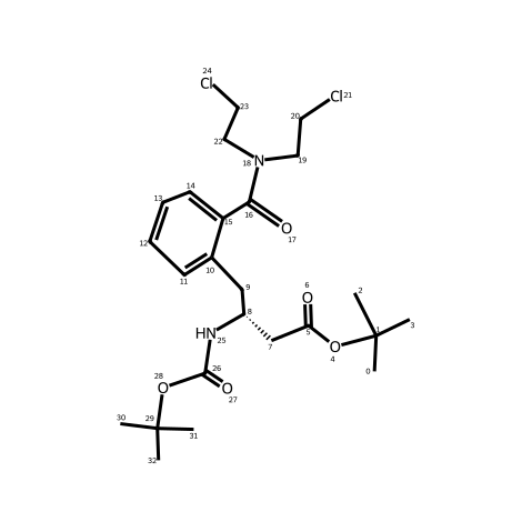 CC(C)(C)OC(=O)C[C@@H](Cc1ccccc1C(=O)N(CCCl)CCCl)NC(=O)OC(C)(C)C